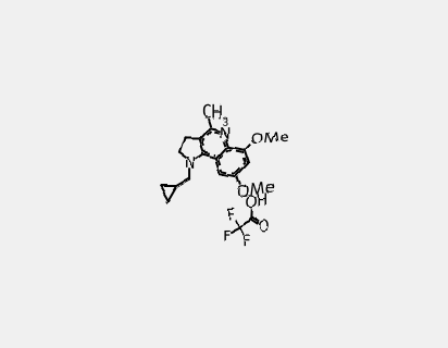 COc1cc(OC)c2nc(C)c3c(c2c1)N(CC1CC1)CC3.O=C(O)C(F)(F)F